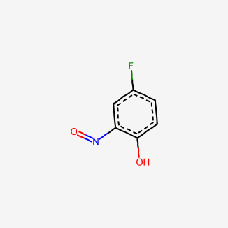 O=Nc1cc(F)ccc1O